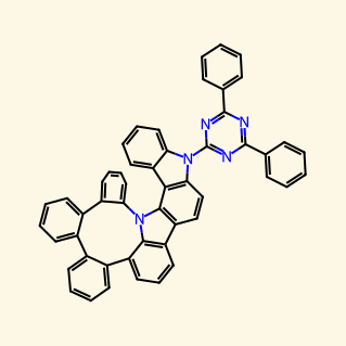 c1ccc(-c2nc(-c3ccccc3)nc(-n3c4ccccc4c4c3ccc3c5cccc6c7ccccc7c7ccccc7c7ccccc7n(c65)c34)n2)cc1